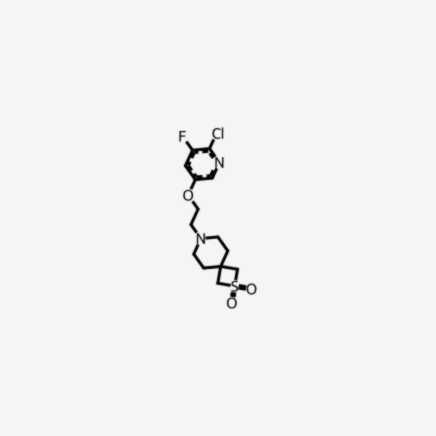 O=S1(=O)CC2(CCN(CCOc3cnc(Cl)c(F)c3)CC2)C1